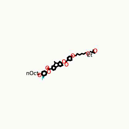 CCCCCCCCOc1ccc(OC(=O)c2ccc3c(c2)C(C)c2cc(OC(=O)c4ccc(OCCCCCCOCC5(CC)COC5)cc4)ccc2-3)cc1F